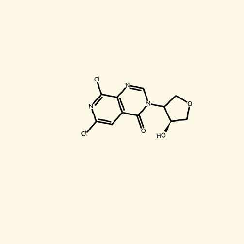 O=c1c2cc(Cl)nc(Cl)c2ncn1C1COC[C@H]1O